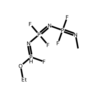 CCO/[PH](F)=N/P(F)(F)=NP(F)(F)=NC